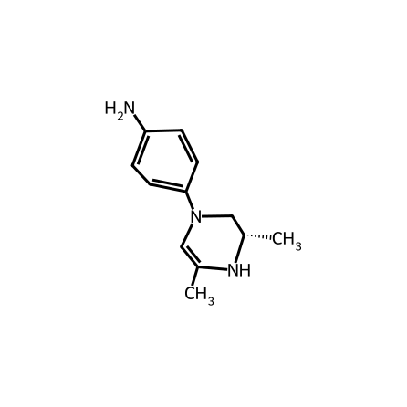 CC1=CN(c2ccc(N)cc2)C[C@H](C)N1